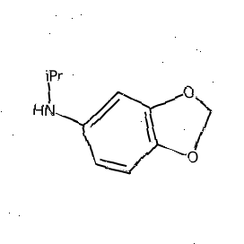 CC(C)Nc1ccc2c(c1)OCO2